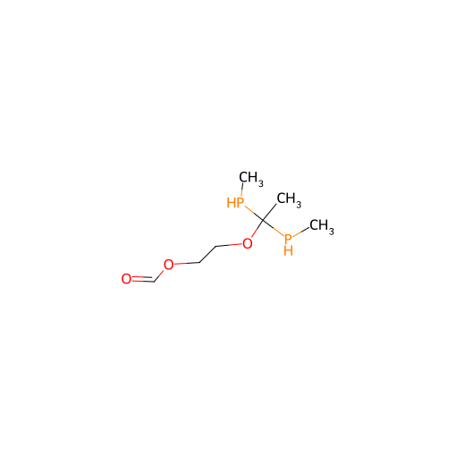 CPC(C)(OCCOC=O)PC